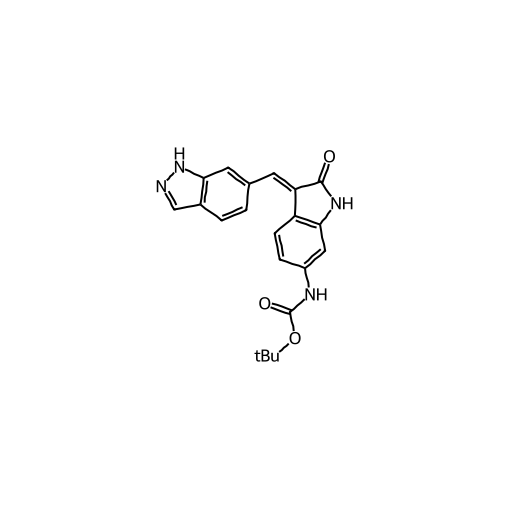 CC(C)(C)OC(=O)Nc1ccc2c(c1)NC(=O)/C2=C/c1ccc2cn[nH]c2c1